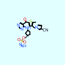 Cc1sc(C(=O)c2cncnc2N[C@H]2CC[C@@H](COS(=O)(=O)N=N)C2)cc1Cn1ccc(C#N)c1